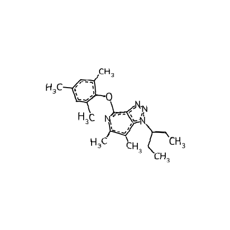 CCC(CC)n1nnc2c(Oc3c(C)cc(C)cc3C)nc(C)c(C)c21